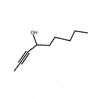 CC#CC(O)CCCCC